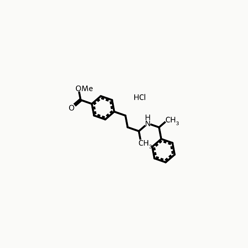 COC(=O)c1ccc(CCC(C)NC(C)c2ccccc2)cc1.Cl